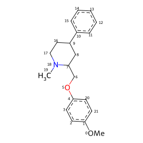 COc1ccc(OCC2CC(c3ccccc3)CCN2C)cc1